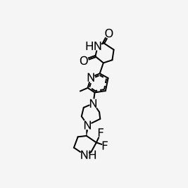 Cc1nc(C2CCC(=O)NC2=O)ccc1N1CCN([C@@H]2CCNCC2(F)F)CC1